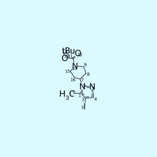 Cc1c(I)cnn1C1CCN(C(=O)OC(C)(C)C)CC1